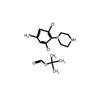 CC(C)(C)OC=O.Nc1cc(Cl)c(N2CCNCC2)c(Cl)c1